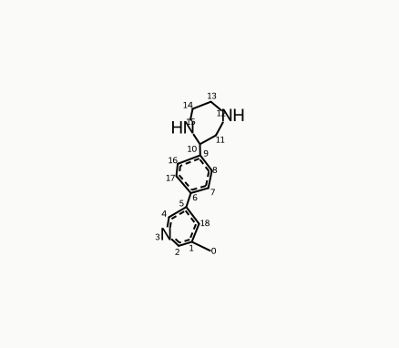 Cc1cncc(-c2ccc(C3CNCCN3)cc2)c1